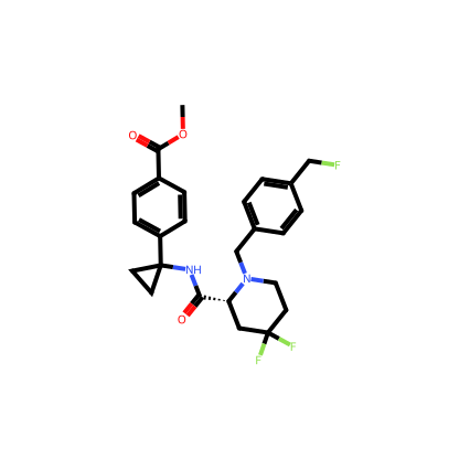 COC(=O)c1ccc(C2(NC(=O)[C@H]3CC(F)(F)CCN3Cc3ccc(CF)cc3)CC2)cc1